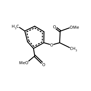 COC(=O)c1cc(C)ccc1OC(C)C(=O)OC